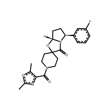 Cc1nc(C(=O)N2CCC3(CC2)O[C@@H]2CC[C@@H](c4cccc(F)c4)N2C3=O)c(C)o1